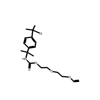 C=COCCOCCOC(=O)NC(C)(C)c1ccc(C(C)(C)CC)cc1